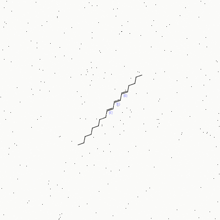 CCCC/C=C/C=C/C=C/CCCCCCCC